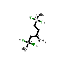 CCCC[Si](F)(F)CCC(C)C[Si](F)(F)CCCC